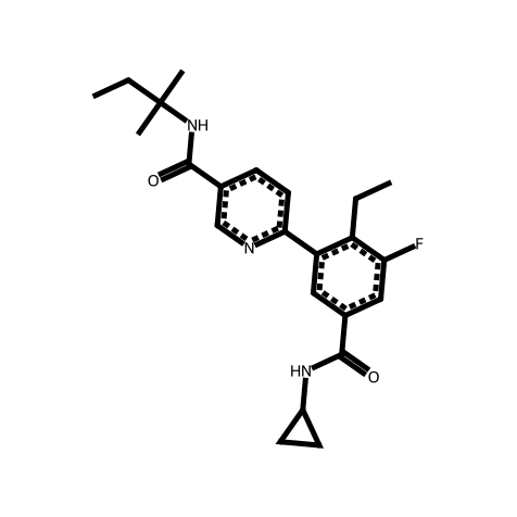 CCc1c(F)cc(C(=O)NC2CC2)cc1-c1ccc(C(=O)NC(C)(C)CC)cn1